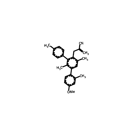 C=C(C#N)Cc1c(C)cc(-c2ccc(OC)cc2C)c(C)c1-c1ccc(C)cc1